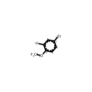 [CH2]Cc1ccc(OC(F)(F)F)c(F)c1